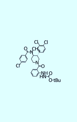 CN(C(=O)c1ccc(Cl)cc1)[C@@H]1CCN(C(=O)c2ccccc2NNC(=O)OC(C)(C)C)C[C@H]1c1ccc(Cl)c(Cl)c1